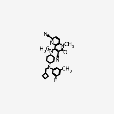 Cc1cc(F)cc(N(CC2CCC2)[C@H]2CC[C@H](N(C)c3c(C#N)c(=O)n(C)c4ccc(C#N)nc34)CC2)c1